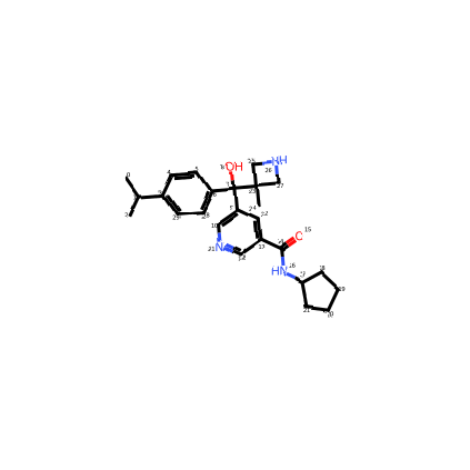 CC(C)c1ccc(C(O)(c2cncc(C(=O)NC3CCCC3)c2)C2(C)CNC2)cc1